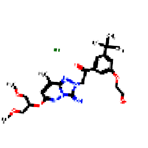 COCC(COC)Oc1cc(C)c2nn(CC(=O)c3cc(OCCO)cc(C(C)(C)C)c3)c(=N)n2n1.Cl